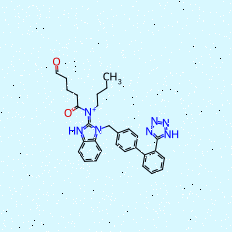 CCCC[N+](C(=O)CCCC=O)=c1[nH]c2ccccc2n1Cc1ccc(-c2ccccc2-c2nnn[nH]2)cc1